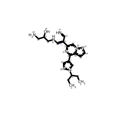 CCC(CC)n1cc(-c2nc(/C(C=N)=C/NCC(O)CN)cn3nccc23)cn1